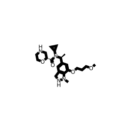 COCCCOc1cc([C@H](C)N(C(=O)[C@H]2CNCCO2)C2CC2)cc2c1N(C)NC2